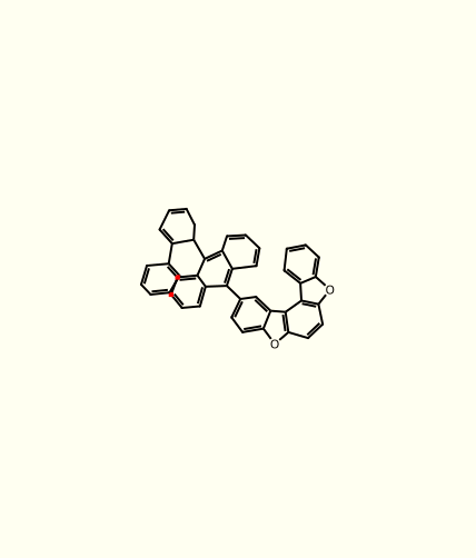 C1=CCC(c2c3ccccc3c(-c3ccc4oc5ccc6oc7ccccc7c6c5c4c3)c3ccccc23)C(c2ccccc2)=C1